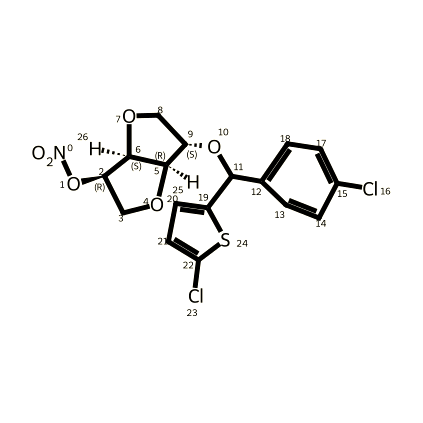 O=[N+]([O-])O[C@@H]1CO[C@H]2[C@@H]1OC[C@@H]2OC(c1ccc(Cl)cc1)c1ccc(Cl)s1